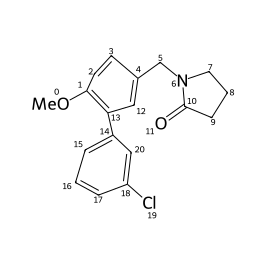 COc1ccc(CN2CCCC2=O)cc1-c1cccc(Cl)c1